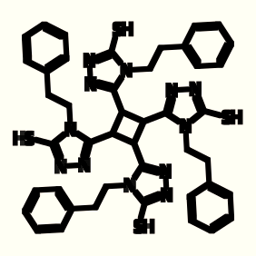 Sc1nnc(C2C(c3nnc(S)n3CCc3ccccc3)C(c3nnc(S)n3CCc3ccccc3)C2c2nnc(S)n2CCc2ccccc2)n1CCc1ccccc1